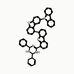 C1=CCC(C2NC(c3cccc4c3sc3c(-c5cccc6oc7ccc(-n8c9ccccc9c9ccccc98)cc7c56)cccc34)=NC(c3ccccc3)N2)C=C1